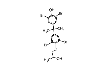 CC(O)COc1c(Br)cc(C(C)(C)c2cc(Br)c(O)c(Br)c2)cc1Br